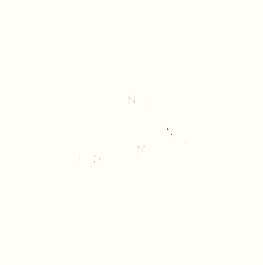 NNP(N)(N)=O